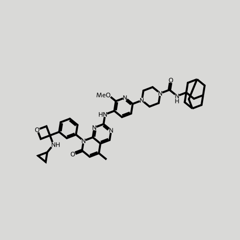 COc1nc(N2CCN(C(=O)NC34CC5CC(CC(C5)C3)C4)CC2)ccc1Nc1ncc2c(C)cc(=O)n(-c3cccc(C4(NC5CC5)COC4)c3)c2n1